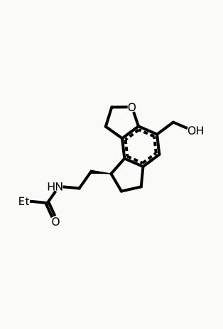 CCC(=O)NCC[C@@H]1CCc2cc(CO)c3c(c21)CCO3